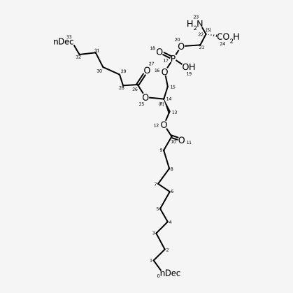 CCCCCCCCCCCCCCCCCCCC(=O)OC[C@H](COP(=O)(O)OC[C@H](N)C(=O)O)OC(=O)CCCCCCCCCCCCCCC